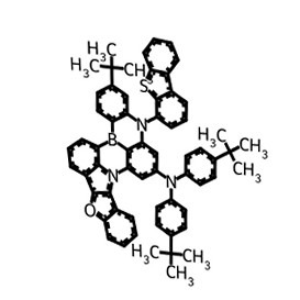 CC(C)(C)c1ccc(N(c2ccc(C(C)(C)C)cc2)c2cc3c4c(c2)-n2c5c(cccc5c5oc6ccccc6c52)B4c2ccc(C(C)(C)C)cc2N3c2cccc3c2sc2ccccc23)cc1